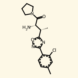 Cc1ccc(-c2noc([C@@H](C)[C@H](N)C(=O)N3CCCC3)n2)c(Cl)c1